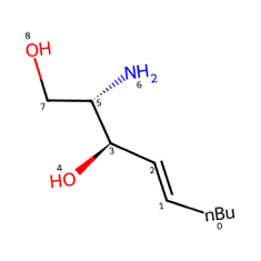 CCCC/C=C/[C@@H](O)[C@@H](N)CO